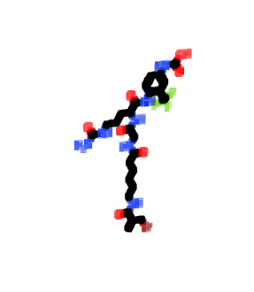 C=C(CBr)C(=O)NCCCCCC(=O)NCC(=O)NC(CCCNC(N)=O)C(=O)Nc1ccc(NC(=O)O)cc1C(F)(F)F